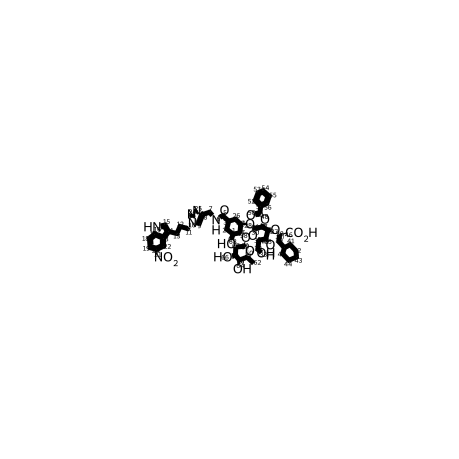 CC1CC(C(=O)NCc2cn(CCCc3c[nH]c4ccc([N+](=O)[O-])cc34)nn2)C[C@@H](O[C@@H]2OC(CO)[C@H](O)C(O[C@@H](CC3CCCCC3)C(=O)O)C2OC(=O)c2ccccc2)C1O[C@@H]1OC(C)[C@@H](O)C(O)C1O